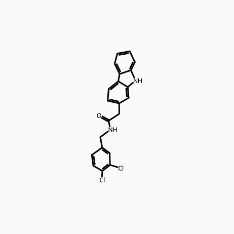 O=C(Cc1ccc2c(c1)[nH]c1ccccc12)NCc1ccc(Cl)c(Cl)c1